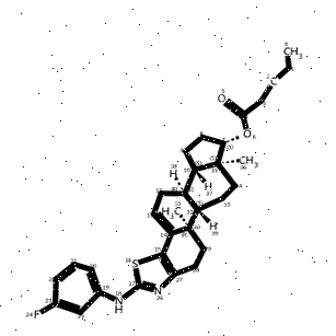 CCCCC(=O)O[C@H]1CC[C@H]2[C@@H]3CC=C4c5sc(Nc6cccc(F)c6)nc5CC[C@]4(C)[C@H]3CC[C@]12C